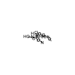 Cc1ccc([C@@H](C)NCc2ccc(-c3ccc(Cl)c(C(=O)N[C@@H](CC(=O)NCCCO)Cc4ccc(C#N)cc4)c3)o2)cc1